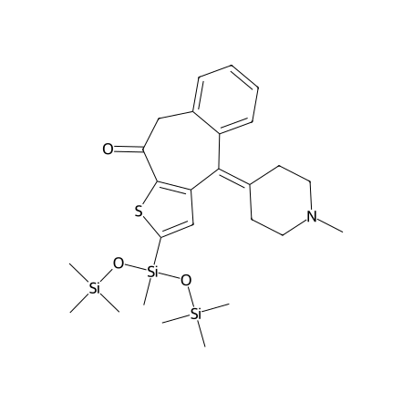 CN1CCC(=C2c3ccccc3CC(=O)c3sc([Si](C)(O[Si](C)(C)C)O[Si](C)(C)C)cc32)CC1